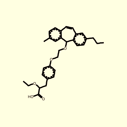 CCCc1ccc2c(c1)C=Cc1ccc(C)cc1C2OCCOc1ccc(CC(OCC)C(=O)O)cc1